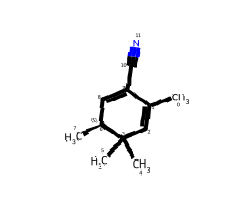 CC1=CC(C)(C)[C@@H](C)C=C1C#N